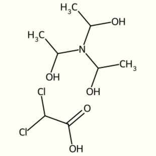 CC(O)N(C(C)O)C(C)O.O=C(O)C(Cl)Cl